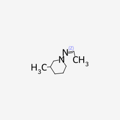 C/C=N\N1CCCC(C)C1